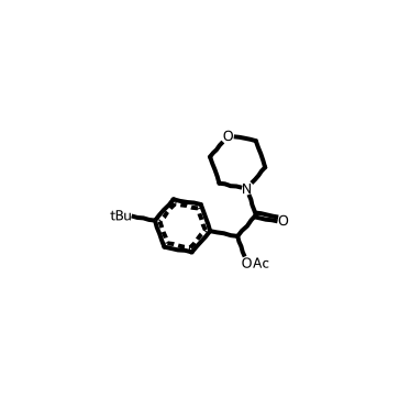 CC(=O)OC(C(=O)N1CCOCC1)c1ccc(C(C)(C)C)cc1